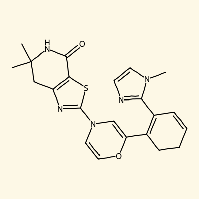 Cn1ccnc1C1=C(C2=CN(c3nc4c(s3)C(=O)NC(C)(C)C4)C=CO2)CCC=C1